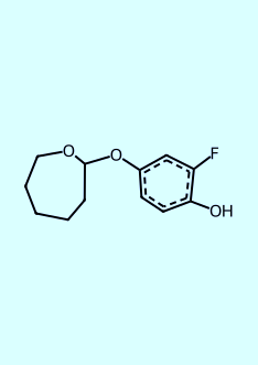 Oc1ccc(OC2CCCCCO2)cc1F